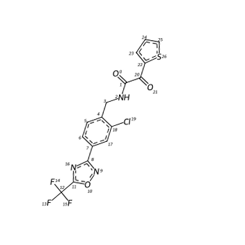 O=C(NCc1ccc(-c2noc(C(F)(F)F)n2)cc1Cl)C(=O)c1cccs1